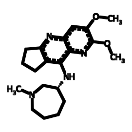 COc1cc2nc3c(c(N[C@@H]4CCCCN(C)C4)c2nc1OC)CCC3